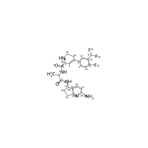 CC(NC(=O)[C@@H]1C=C(c2ccc(F)c(C(F)F)c2)CCN1)C(=O)N[C@@H]1CCc2nc(N)ccc21